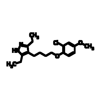 CCc1n[nH]c(CC)c1CCCCOc1ccc(OC)cc1Cl